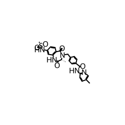 Cc1ccc(NC(=O)c2ccc(CN3C(=O)c4ccc(NS(C)(=O)=O)cc4NC(=O)[C@H]3C)cc2)nc1